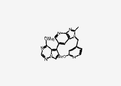 COc1cc(Cn2c(C)nc3ncc(-c4ccn5ncnc(OC)c45)cc32)ccn1